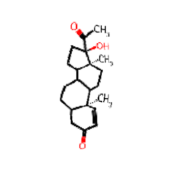 CC(=O)[C@@]1(O)CCC2C3CCC4CC(=O)C=C[C@]4(C)C3CC[C@@]21C